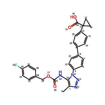 Cc1nnn(-c2ccc(-c3ccc(C4(C(=O)O)CC4)cc3)cc2)c1NC(=O)OCc1ccc(F)cc1